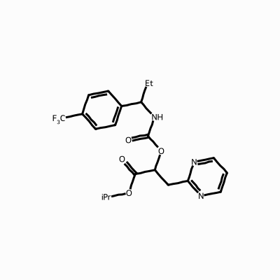 CCC(NC(=O)OC(Cc1ncccn1)C(=O)OC(C)C)c1ccc(C(F)(F)F)cc1